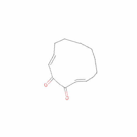 O=C1/C=C/CCCCCC/C=C/C1=O